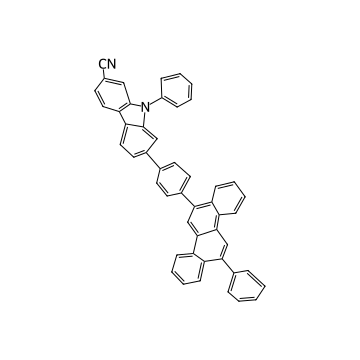 N#Cc1ccc2c3ccc(-c4ccc(-c5cc6c7ccccc7c(-c7ccccc7)cc6c6ccccc56)cc4)cc3n(-c3ccccc3)c2c1